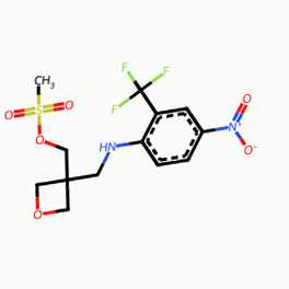 CS(=O)(=O)OCC1(CNc2ccc([N+](=O)[O-])cc2C(F)(F)F)COC1